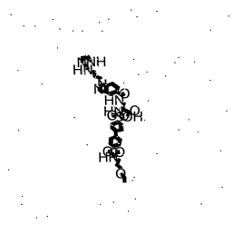 CCOCCCNS(=O)(=O)c1ccc(-c2ccc(S(=O)(=O)N[C@@H](CNC(=O)c3ccc4c(cnn4CCCNc4ncc[nH]4)c3)C(=O)O)cc2)cc1